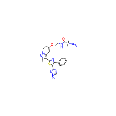 Cc1nn2c(c1-c1nc(-c3ccccc3)c(-c3nc[nH]n3)s1)C=C(OCCNC(=O)C(C)(C)N)CC2